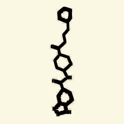 O=C(NC1CCN(C(=O)CCCc2ccccc2)CC1)c1ccc2[nH]nnc2c1